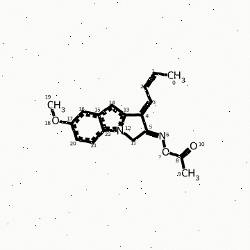 C\C=C/C=C1/C(=N/OC(C)=O)Cn2c1cc1cc(OC)ccc12